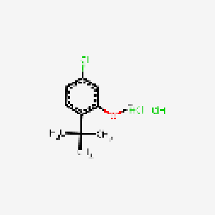 CC(C)(C)c1ccc(Cl)cc1[O][Ti].Cl.Cl